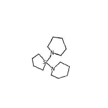 C1CCN([Si]2(N3CCCCC3)CCCC2)CC1